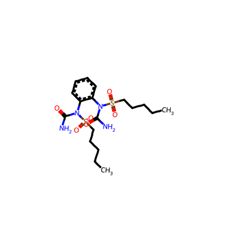 CCCCCS(=O)(=O)N(C(N)=O)c1ccccc1N(C(N)=O)S(=O)(=O)CCCCC